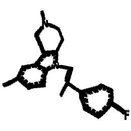 CC(=Cn1c2c(c3cc(C)ccc31)CN(C)CC2)c1ccc(F)cc1